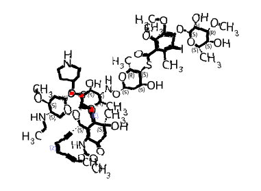 CC#C/C=C\C#C[C@H](O[C@@H]1O[C@H](C)[C@@H](NO[C@H]2C[C@H](O)[C@H](SC(=O)c3c(C)c(I)c(O[C@@H]4O[C@@H](C)[C@H](O)[C@@H](OC)[C@H]4O)c(OC)c3OC)[C@@H](C)O2)[C@H](O)[C@H]1O[C@H]1C[C@H](OC)[C@@H](NCC)CO1)C1=C(NC(=O)OC)C(=O)C[C@](C)(O)/C1=C/CSSC1CCNCC1